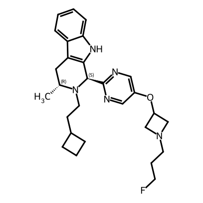 C[C@@H]1Cc2c([nH]c3ccccc23)[C@@H](c2ncc(OC3CN(CCCF)C3)cn2)N1CCC1CCC1